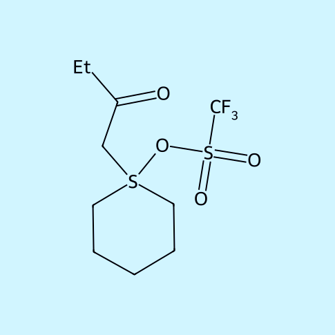 CCC(=O)CS1(OS(=O)(=O)C(F)(F)F)CCCCC1